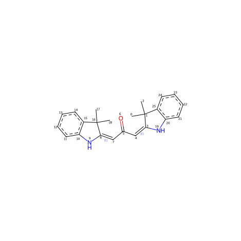 CC1(C)/C(=C\C(=O)/C=C2/Nc3ccccc3C2(C)C)Nc2ccccc21